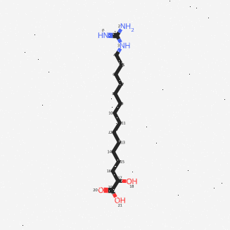 N=C(N)NCCCCCCCCCCCCCC(O)C(=O)O